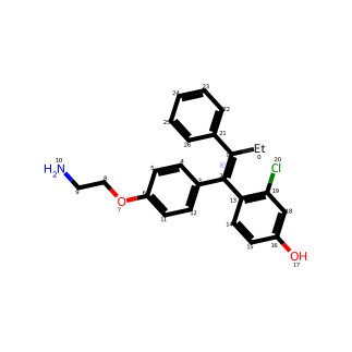 CC/C(=C(/c1ccc(OCCN)cc1)c1ccc(O)cc1Cl)c1ccccc1